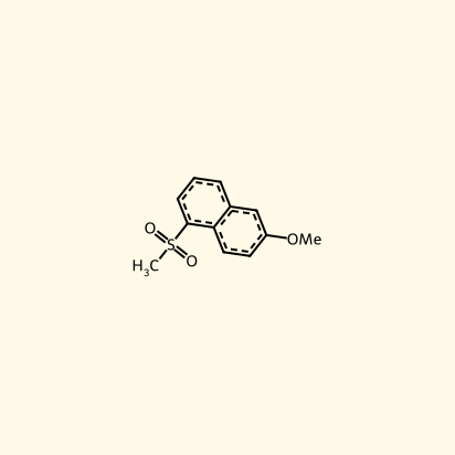 COc1ccc2c(S(C)(=O)=O)cccc2c1